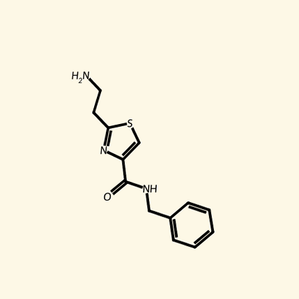 NCCc1nc(C(=O)NCc2ccccc2)cs1